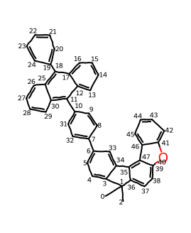 CC1(C)c2ccc(-c3ccc(-c4c5ccccc5c(-c5ccccc5)c5ccccc45)cc3)cc2-c2c1ccc1oc3ccccc3c21